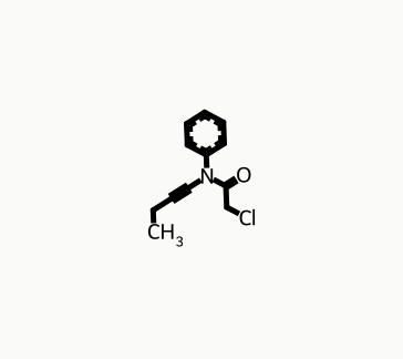 CCC#CN(C(=O)CCl)c1ccccc1